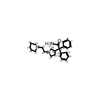 NC(=O)C(c1ccccc1)(c1ccccc1)C1CCN(CCN2CCCCC2)C1